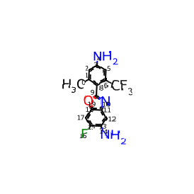 Cc1cc(N)cc(C(F)(F)F)c1-c1nc2cc(N)c(F)cc2o1